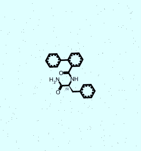 NC(=O)[C@H](Cc1ccccc1)NC(=O)c1ccccc1-c1ccccc1